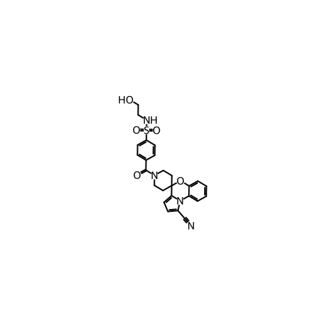 N#Cc1ccc2n1-c1ccccc1OC21CCN(C(=O)c2ccc(S(=O)(=O)NCCO)cc2)CC1